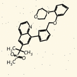 CC(C)(c1cc(-c2cccc(COc3ccccc3N3CCOCC3)c2)c2ncccc2c1)S(C)(=O)=O